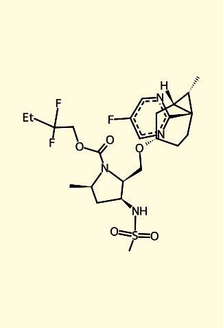 CCC(F)(F)COC(=O)N1[C@H](C)C[C@H](NS(C)(=O)=O)[C@@H]1CO[C@H]1CC[C@]2(c3ncc(F)cn3)[C@H](C1)[C@@H]2C